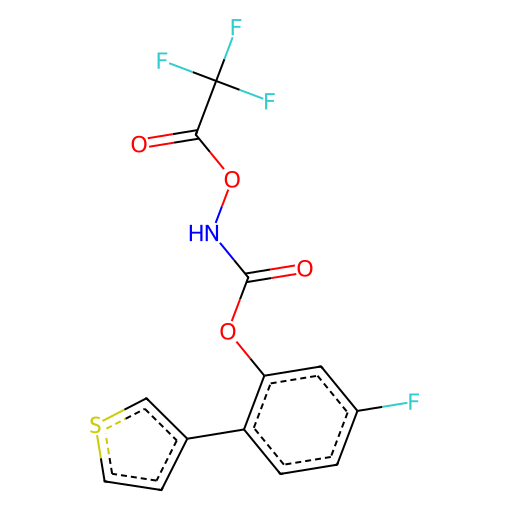 O=C(NOC(=O)C(F)(F)F)Oc1cc(F)ccc1-c1ccsc1